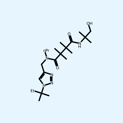 CCCN(Cc1cn(C(C)(C)CC)nn1)C(=O)C(C)(C)C(C)(C)C(=O)NC(C)(C)CO